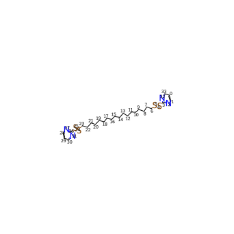 c1cnc(SSCCCCCCCCCCCCCCCCCCSSc2ncccn2)nc1